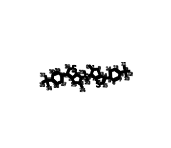 CC1Cc2c(-c3ccc(C(C)(C)C)cc3)csc2C1S(C)(C)C1C(C)CC2=C(c3ccc(C(C)(C)C)cc3)CSC21